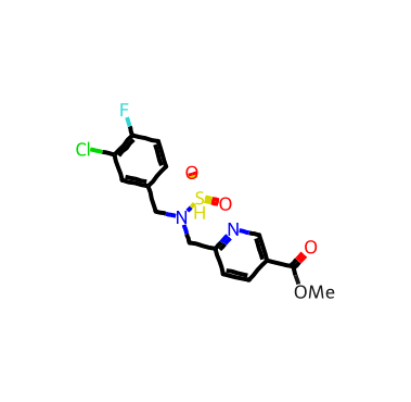 COC(=O)c1ccc(CN(Cc2ccc(F)c(Cl)c2)[SH](=O)=O)nc1